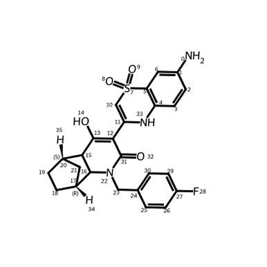 Nc1ccc2c(c1)S(=O)(=O)C=C(C1=C(O)C3C([C@@H]4CC[C@H]3C4)N(Cc3ccc(F)cc3)C1=O)N2